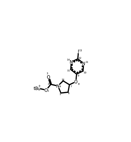 CC(C)(C)OC(=O)N1CCC(Oc2cnc(I)nc2)C1